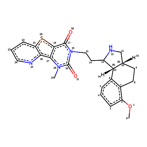 COc1cccc2c1CC[C@H]1CNC(CCn3c(=O)c4sc5cccnc5c4n(C)c3=O)[C@@H]21